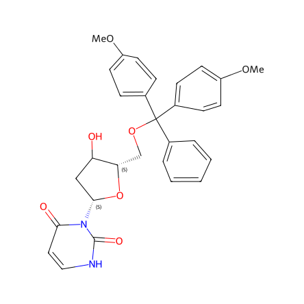 COc1ccc(C(OC[C@@H]2O[C@H](n3c(=O)cc[nH]c3=O)CC2O)(c2ccccc2)c2ccc(OC)cc2)cc1